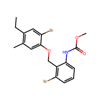 CCc1cc(Br)c(OCc2c(Br)cccc2NC(=O)OC)cc1C